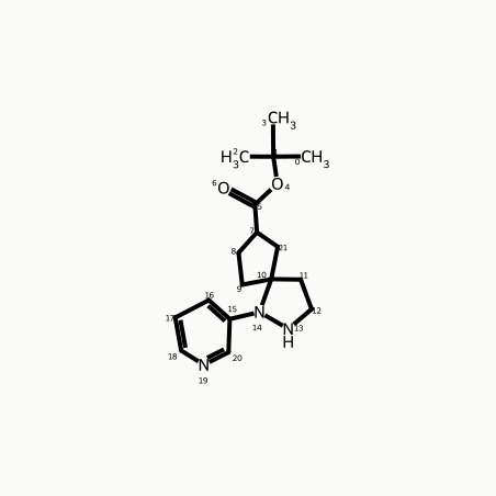 CC(C)(C)OC(=O)C1CCC2(CCNN2c2cccnc2)C1